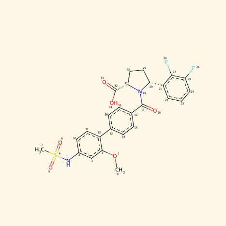 COc1cc(NS(C)(=O)=O)ccc1-c1ccc(C(=O)N2[C@@H](c3cccc(F)c3F)CC[C@H]2C(=O)O)cc1